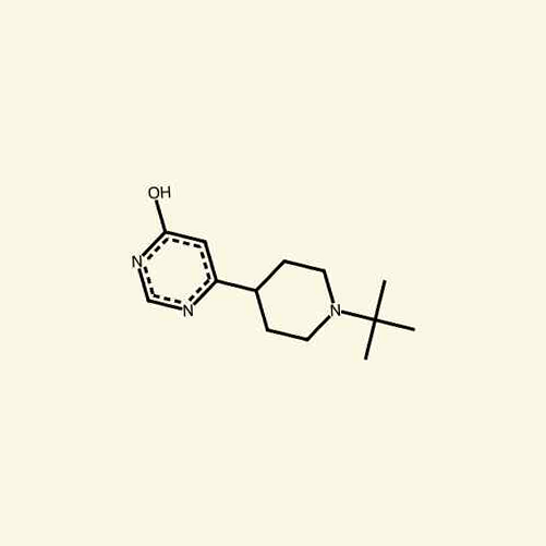 CC(C)(C)N1CCC(c2cc(O)ncn2)CC1